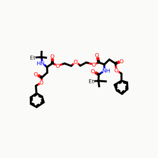 CCC(C)(C)NC(CC(=O)OCc1ccccc1)C(=O)OCCOCCOC(=O)C(CC(=O)OCc1ccccc1)NC(=O)C(C)(C)CC